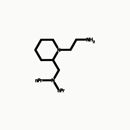 CCCN(CCC)CC1CCCCN1CCN